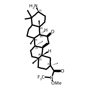 CON(C(=O)[C@@]1(C)CC[C@]2(C)CC[C@]3(C)C(=CC(=O)[C@@H]4[C@@]5(C)CC[C@H](N)C(C)(C)C5CC[C@]43C)[C@@H]2C1)C(F)(F)F